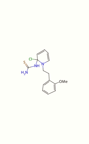 COc1ccccc1CCN1C=CC=CC1(Cl)NC(N)=S